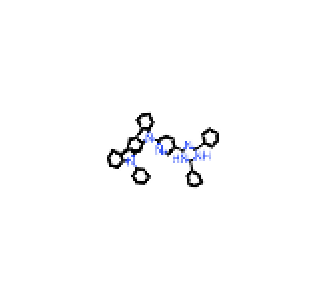 c1ccc(C2=NC(c3ccc(-n4c5ccccc5c5cc6c7ccccc7n(-c7ccccc7)c6cc54)nc3)NC(c3ccccc3)N2)cc1